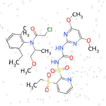 CCS(=O)(=O)c1cccnc1S(=O)(=O)NC(=O)Nc1nc(OC)cc(OC)n1.CCc1cccc(C)c1N(C(=O)CCl)C(C)COC